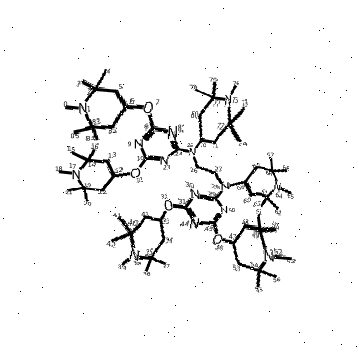 CN1C(C)(C)CC(Oc2nc(OC3CC(C)(C)N(C)C(C)(C)C3)nc(N(CCN(c3nc(OC4CC(C)(C)N(C)C(C)(C)C4)nc(OC4CC(C)(C)N(C)C(C)(C)C4)n3)C3CC(C)(C)N(C)C(C)(C)C3)C3CC(C)(C)N(C)C(C)(C)C3)n2)CC1(C)C